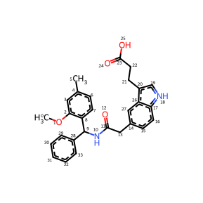 COc1cc(C)ccc1C(NC(=O)Cc1ccc2[nH]cc(CCC(=O)O)c2c1)c1ccccc1